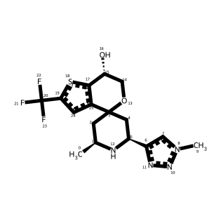 C[C@H]1CC2(C[C@@H](c3cn(C)nn3)N1)OC[C@@H](O)c1sc(C(F)(F)F)cc12